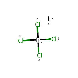 [Cl][Ir]([Cl])([Cl])[Cl].[Ir]